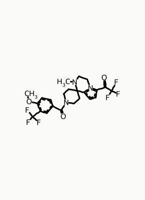 COc1ccc(C(=O)N2CCC3(CC2)c2ccc(C(=O)C(F)(F)F)n2CCN3C)cc1C(F)(F)F